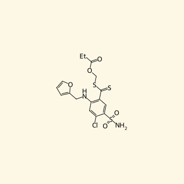 CCC(=O)OCSC(=S)c1cc(S(N)(=O)=O)c(Cl)cc1NCc1ccco1